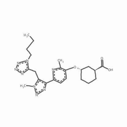 CCCCn1nnnc1Cc1c(-c2ccc(O[C@H]3CCC[C@H](C(=O)O)C3)c(C)n2)nnn1C